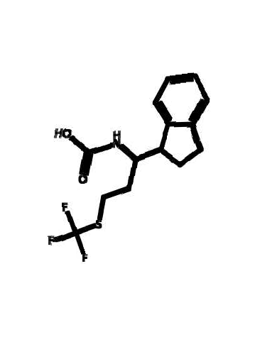 O=C(O)NC(CCSC(F)(F)F)C1CCc2ccccc21